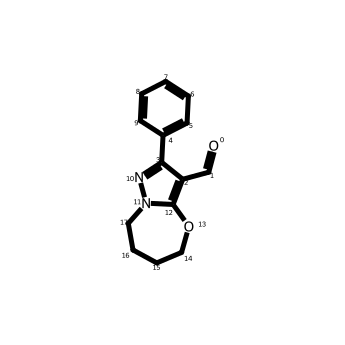 O=Cc1c(-c2ccccc2)nn2c1OCCCC2